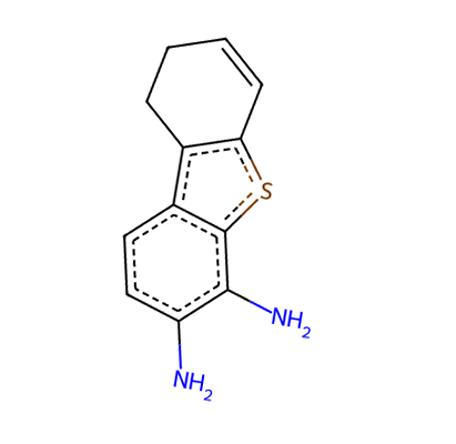 Nc1ccc2c3c(sc2c1N)C=CCC3